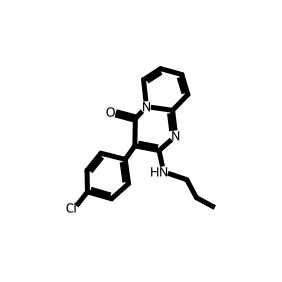 CCCNc1nc2ccccn2c(=O)c1-c1ccc(Cl)cc1